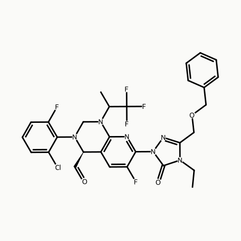 CCn1c(COCc2ccccc2)nn(-c2nc3c(cc2F)[C@@H](C=O)N(c2c(F)cccc2Cl)CN3C(C)C(F)(F)F)c1=O